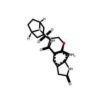 NC1CCN(S(=O)(=O)N2[C@@H]3CC[C@H]2CC(NC(=O)c2cc4c(cc2F)NC(=O)C4)C3)CC1